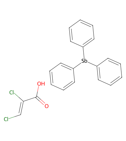 O=C(O)C(Cl)=CCl.c1cc[c]([Sb]([c]2ccccc2)[c]2ccccc2)cc1